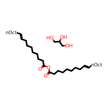 CCCCCCCCC=CCCCCCCCC(=O)OC(=O)CCCCCCCC=CCCCCCCCC.OCC(O)CO